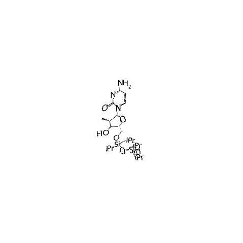 CC(C)[SiH](O[Si](OC[C@H]1O[C@@H](n2ccc(N)nc2=O)[C@H](C)C1O)(C(C)C)C(C)C)C(C)C